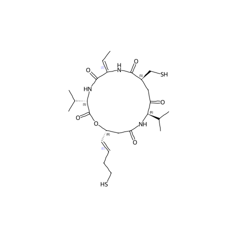 C/C=C1\NC(=O)[C@@H](CS)CC(=O)[C@@H](C(C)C)NC(=O)C[C@H](/C=C/CCS)OC(=O)[C@H](C(C)C)NC1=O